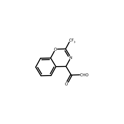 O=CC(=O)C1N=C(C(F)(F)F)Oc2ccccc21